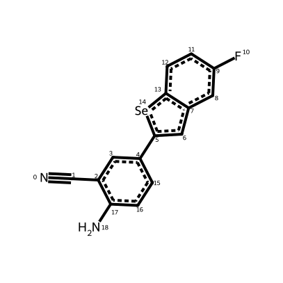 N#Cc1cc(-c2cc3cc(F)ccc3[se]2)ccc1N